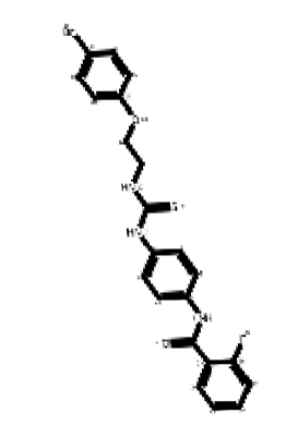 O=C(Nc1ccc(NC(=S)NCCOc2ccc(Br)cc2)cc1)c1ccccc1F